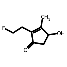 CC1=C(CCF)C(=O)CC1O